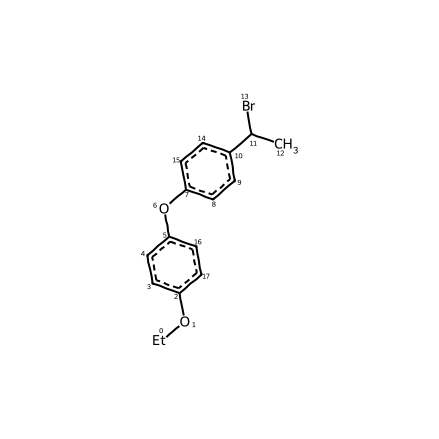 CCOc1ccc(Oc2ccc(C(C)Br)cc2)cc1